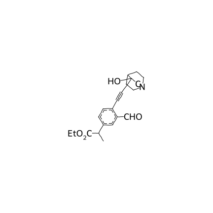 CCOC(=O)C(C)c1ccc(C#CC2(O)CN3CCC2CC3)c(C=O)c1